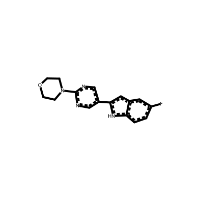 Fc1ccc2[nH]c(-c3cnc(N4CCOCC4)nc3)cc2c1